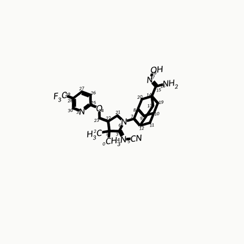 CC1(C)/C(=N/C#N)N(C2C3CC4CC2CC(/C(N)=N/O)(C4)C3)CC1COc1ccc(C(F)(F)F)cn1